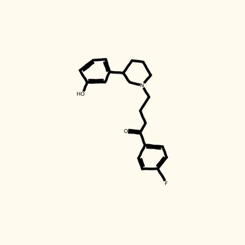 O=C(CCCN1CCCC(c2cccc(O)c2)C1)c1ccc(F)cc1